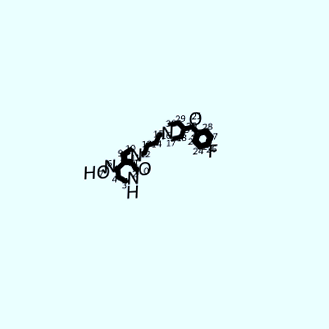 O=C1NCCC(=NO)c2ccn(CCCCN3CCC(C(=O)c4ccc(F)cc4)CC3)c21